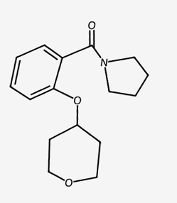 O=C(c1ccccc1OC1CCOCC1)N1CCCC1